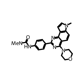 CNC(=O)Nc1ccc(-c2nc(N3CCOCC3)c3ccc4c(ccn4C)c3n2)cc1